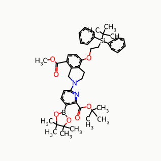 COC(=O)c1ccc(OCC[Si](c2ccccc2)(c2ccccc2)C(C)(C)C)c2c1CN(c1ccc(B3OC(C)(C)C(C)(C)O3)c(C(=O)OC(C)(C)C)n1)CC2